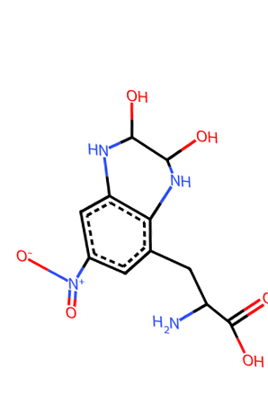 NC(Cc1cc([N+](=O)[O-])cc2c1NC(O)C(O)N2)C(=O)O